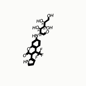 O=C[C@H](Nc1ccc2c(C(F)(F)F)c(-c3ccc[nH]3)c(=O)oc2c1)[C@@H](O)[C@H](O)[C@H](O)CO